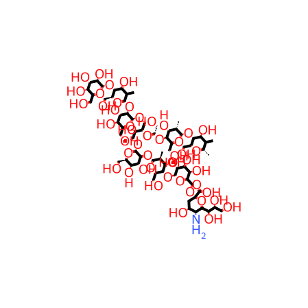 CC1C(O)[C@H](O[C@@H]2OC(CO)[C@H](O)C(O)[C@@H]2O)[C@H](CO)O[C@H]1O[C@@H]1C(O)[C@H](O)C(CO)O[C@@H]1OCC(O[C@H](CO)O[C@@H]1C(CO)O[C@@H](O[C@@H]2C(CO)O[C@@H](C)C(C)[C@H]2O)[C@@H](C)C1O)[C@@H](O)[C@@H](C)O[C@H]1O[C@H](CO)[C@@H](O)C(O)C1O[C@@H]1OC(CO)[C@@H](O[C@@H]2OC(CO[C@]3(C(=O)O)C[C@@H](O)[C@@H](N)C([C@H](O)[C@H](O)CO)O3)[C@H](O)C(O)[C@@H]2O)C(O)[C@@H]1C